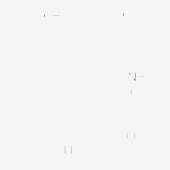 Cc1ccc(C)c2c1C(=O)NC2=O